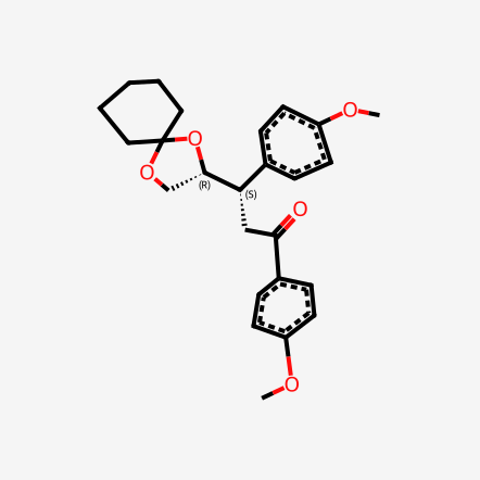 COc1ccc(C(=O)C[C@@H](c2ccc(OC)cc2)[C@@H]2COC3(CCCCC3)O2)cc1